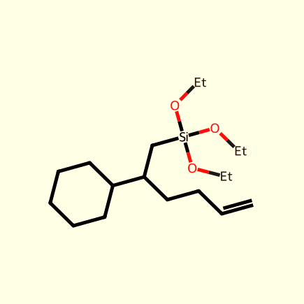 C=CCCC(C[Si](OCC)(OCC)OCC)C1CCCCC1